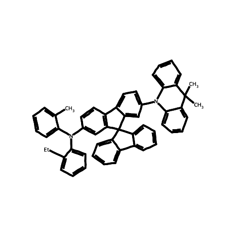 CCc1ccccc1N(c1ccc2c(c1)C1(c3ccccc3-c3ccccc31)c1cc(N3c4ccccc4C(C)(C)c4ccccc43)ccc1-2)c1ccccc1C